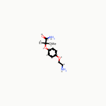 CCC(OC)(Oc1ccc(OCCN)cc1)C(N)=O